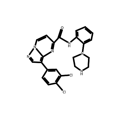 O=C(Nc1ccccc1N1CCNCC1)c1ccn2ncc(-c3ccc(Cl)c(Cl)c3)c2n1